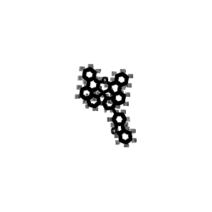 c1ccc(C2(c3ccc(-c4ccc5c(c4)oc4ccccc45)cc3)c3c(c4ccccc4c4ccccc34)Oc3c2c2ccccc2c2ccccc32)cc1